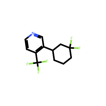 FC1(F)CCCC(c2cnccc2C(F)(F)F)C1